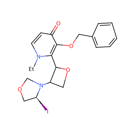 CCn1ccc(=O)c(OCc2ccccc2)c1C1OCC1N1COC[C@@H]1I